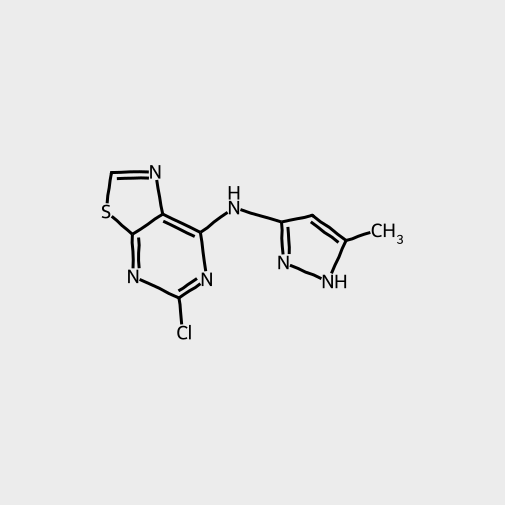 Cc1cc(Nc2nc(Cl)nc3scnc23)n[nH]1